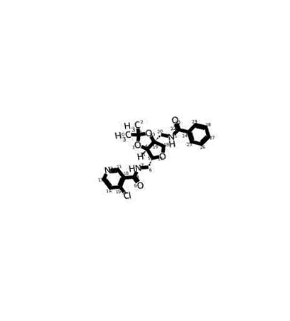 CC1(C)O[C@@H]2[C@@H](CNC(=O)c3cnccc3Cl)OC[C@]2(CNC(=O)c2ccccc2)O1